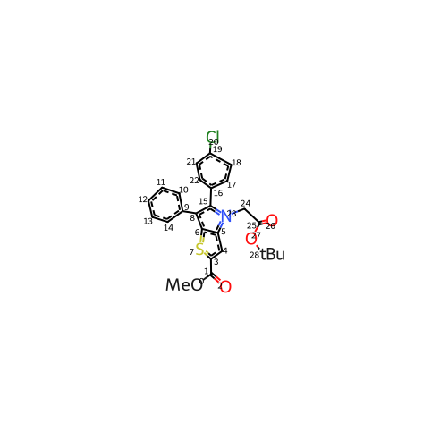 COC(=O)c1cc2c(s1)c(-c1ccccc1)c(-c1ccc(Cl)cc1)n2CC(=O)OC(C)(C)C